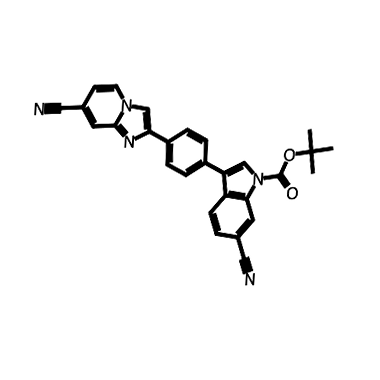 CC(C)(C)OC(=O)n1cc(-c2ccc(-c3cn4ccc(C#N)cc4n3)cc2)c2ccc(C#N)cc21